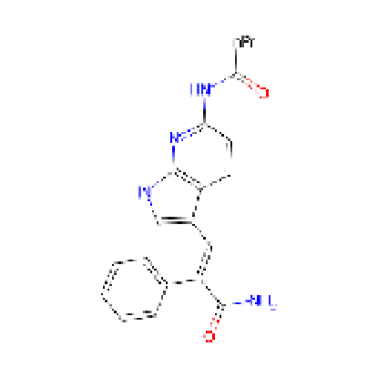 CCCC(=O)Nc1ccc2c(/C=C(/C(N)=O)c3ccccc3)c[nH]c2n1